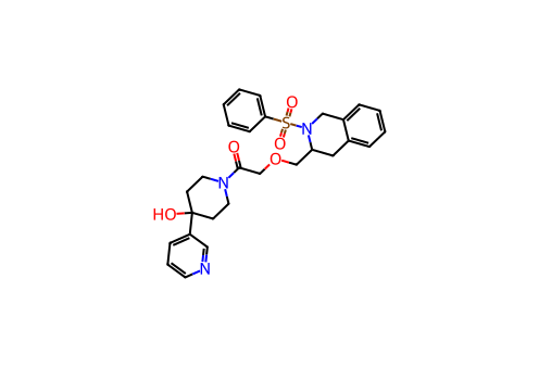 O=C(COCC1Cc2ccccc2CN1S(=O)(=O)c1ccccc1)N1CCC(O)(c2cccnc2)CC1